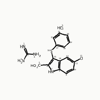 Cl.N=C(N)N.O=C(O)c1[nH]c2ccc(Cl)cc2c1Sc1ccccc1